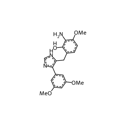 COc1cc(OC)cc(-c2nc[nH]c2Cc2ccc(OC)c(N)c2O)c1